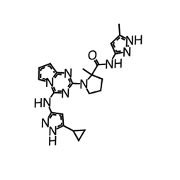 Cc1cc(NC(=O)C2(C)CCCN2c2nc(Nc3cc(C4CC4)[nH]n3)n3cccc3n2)n[nH]1